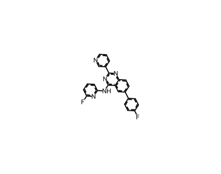 Fc1ccc(-c2ccc3nc(-c4cccnc4)nc(Nc4cccc(F)n4)c3c2)cc1